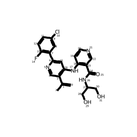 C=C(C)c1cnc(-c2cc(Cl)ccc2F)cc1Nc1ccncc1C(=O)NC(CO)CO